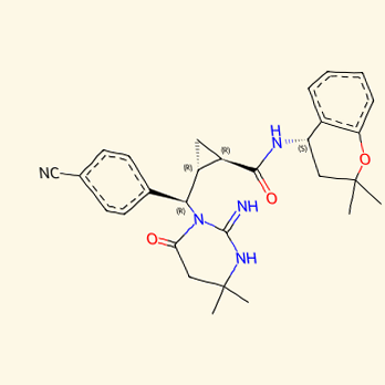 CC1(C)CC(=O)N([C@@H](c2ccc(C#N)cc2)[C@@H]2C[C@H]2C(=O)N[C@H]2CC(C)(C)Oc3ccccc32)C(=N)N1